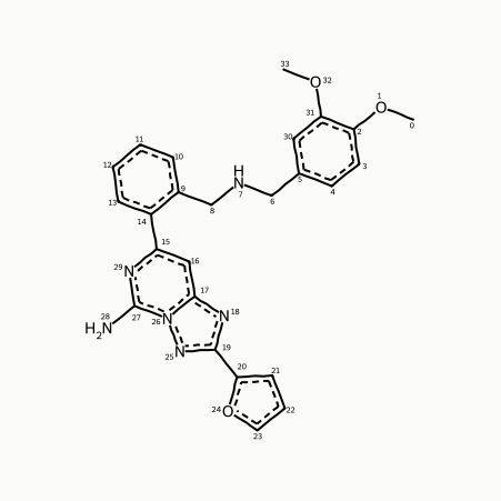 COc1ccc(CNCc2ccccc2-c2cc3nc(-c4ccco4)nn3c(N)n2)cc1OC